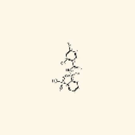 NS(=O)(=O)c1ccccc1S(=O)(=O)NC(=O)c1ccc(Br)cc1Cl